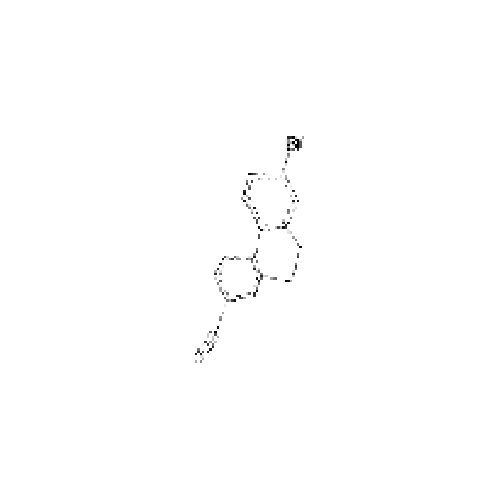 C#Cc1ccc2c(c1)CCc1cc(Br)ccc1-2